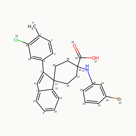 Cc1ccc(C2=Cc3ccccc3C23CCC(Nc2cccc(Br)c2)(C(=O)O)CC3)cc1Cl